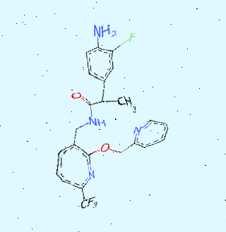 CC(C(=O)NCc1ccc(C(F)(F)F)nc1OCc1ccccn1)c1ccc(N)c(F)c1